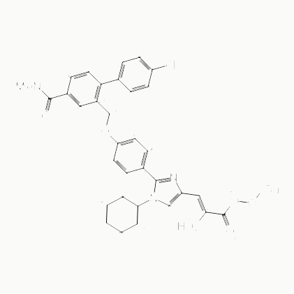 CNC(=O)c1ccc(-c2ccc(Cl)cc2)c(COc2ccc(-c3nc(/C=C(\C)C(=O)OOC(C)(C)C)cn3C3CCCCC3)cc2)c1